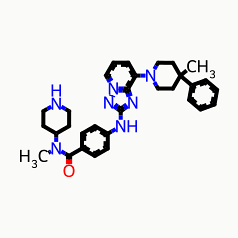 CN(C(=O)c1ccc(Nc2nc3c(N4CCC(C)(c5ccccc5)CC4)cccn3n2)cc1)C1CCNCC1